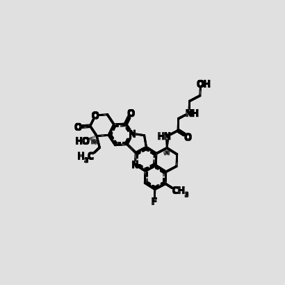 CC[C@@]1(O)C(=O)OCc2c1cc1n(c2=O)Cc2c-1nc1cc(F)c(C)c3c1c2[C@@H](NC(=O)CNCCO)CC3